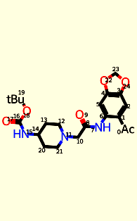 CC(=O)c1cc2c(cc1NC(=O)CN1CCC(NC(=O)OC(C)(C)C)CC1)OCO2